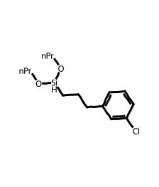 CCCO[SiH](CCCc1cccc(Cl)c1)OCCC